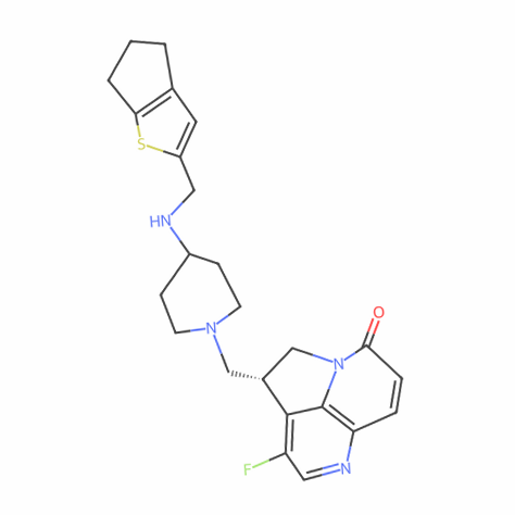 O=c1ccc2ncc(F)c3c2n1C[C@H]3CN1CCC(NCc2cc3c(s2)CCC3)CC1